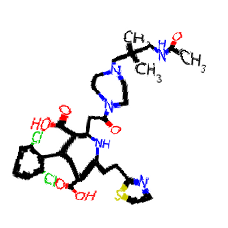 CC(=O)NCC(C)(C)CN1CCN(C(=O)CC2=C(C(=O)O)C(c3c(Cl)cccc3Cl)C(C(=O)O)=C(CCc3nccs3)N2)CC1